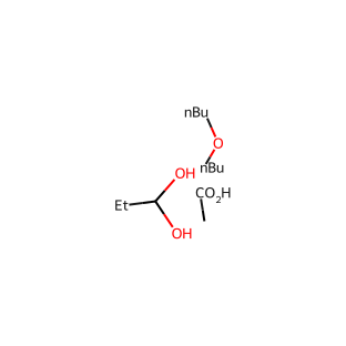 CC(=O)O.CCC(O)O.CCCCOCCCC